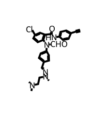 C#Cc1ccc(NC(=O)c2cc(Cl)ccc2N(C=O)c2ccc(C=NN(C)CCN(C)C)cc2)cc1